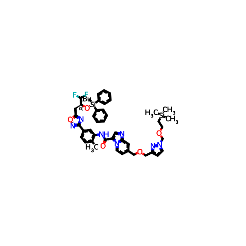 Cc1ccc(-c2noc(C[C@H](O[Si](c3ccccc3)(c3ccccc3)C(C)(C)C)C(F)F)n2)cc1NC(=O)c1cnc2cc(COCc3ccn(COCC[Si](C)(C)C)n3)ccn12